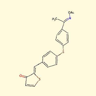 CC(=O)O/N=C(\C)c1ccc(Sc2ccc(/C=C3\SC=CC3=O)cc2)cc1